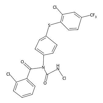 O=C(NCl)N(C(=O)c1ccccc1Cl)c1ccc(Sc2ccc(C(F)(F)F)cc2Cl)cc1